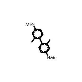 CNc1ccc(-c2ccc(NC)cc2C)c(C)c1